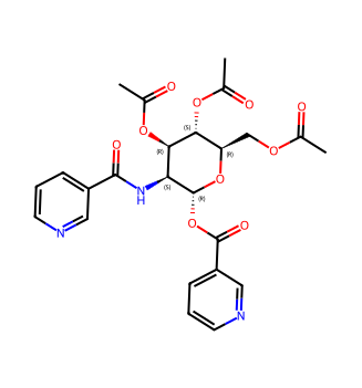 CC(=O)OC[C@H]1O[C@H](OC(=O)c2cccnc2)[C@@H](NC(=O)c2cccnc2)[C@@H](OC(C)=O)[C@@H]1OC(C)=O